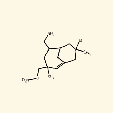 CCC1(C)CC2=CC(C)(CO[N+](=O)[O-])CC(CN)C(C2)C1